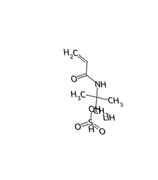 C=CC(=O)NC(C)(C)C.O=[SH](=O)O.[LiH]